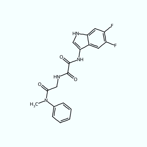 CN(C(=O)CNC(=O)C(=O)Nc1c[nH]c2cc(F)c(F)cc12)c1ccccc1